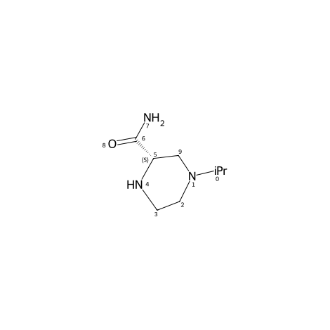 CC(C)N1CCN[C@H](C(N)=O)C1